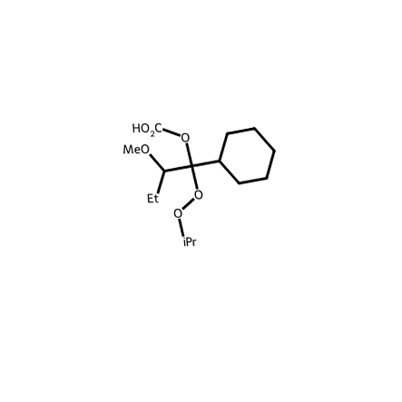 CCC(OC)C(OOC(C)C)(OC(=O)O)C1CCCCC1